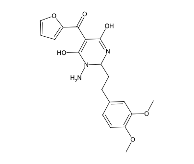 COc1ccc(CCC2N=C(O)C(C(=O)c3ccco3)=C(O)N2N)cc1OC